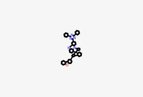 N#Cc1cc(-c2nc(-c3ccccc3)nc(-c3ccccc3)n2)ccc1N1c2ccccc2C2(c3ccccc3-c3cc(-c4ccc5oc6ccccc6c5c4)ccc32)c2ccccc21